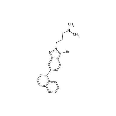 CN(C)CCCn1nc2cc(-c3cccc4ccccc34)ccc2c1Br